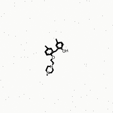 Cc1ccc(O)c(Cc2cc(C)ccc2OCCN2CCN(C)CC2)c1